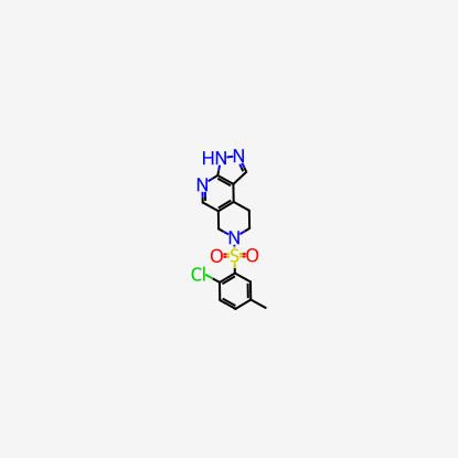 Cc1ccc(Cl)c(S(=O)(=O)N2CCc3c(cnc4[nH]ncc34)C2)c1